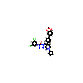 O=C(NCC1(c2ccc(-c3ccc4c(c3)OCO4)cc2)CCN(C2CCCC2)CC1)Nc1cc(Cl)cc(Cl)c1